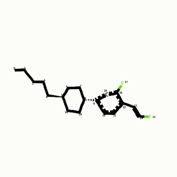 CCCCC[C@H]1CC[C@H](c2ccc(C=CF)c(F)c2)CC1